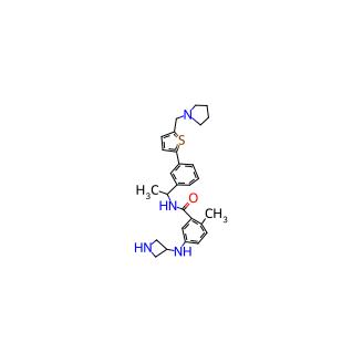 Cc1ccc(NC2CNC2)cc1C(=O)NC(C)c1cccc(-c2ccc(CN3CCCC3)s2)c1